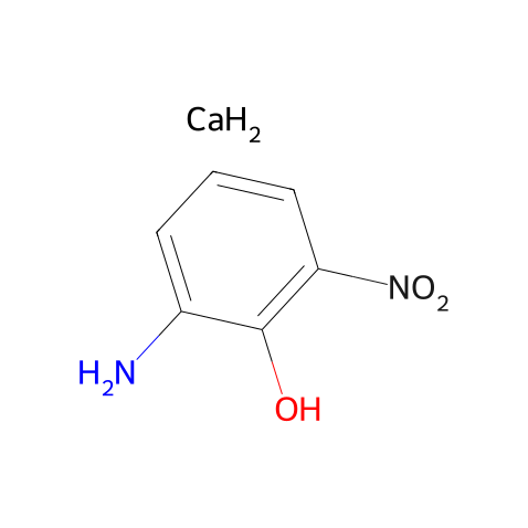 Nc1cccc([N+](=O)[O-])c1O.[CaH2]